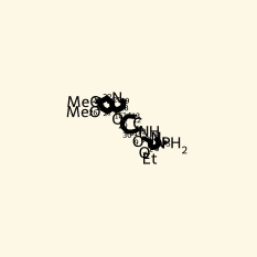 CCOc1cn(P)nc1C(=O)NC1CCCC(Oc2ccnc3cc(OC)c(OC)cc23)CCC1